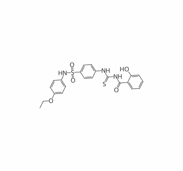 CCOc1ccc(NS(=O)(=O)c2ccc(NC(=S)NC(=O)c3ccccc3O)cc2)cc1